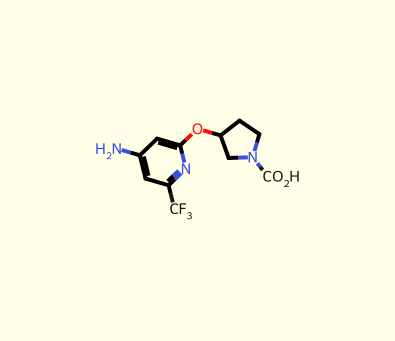 Nc1cc(OC2CCN(C(=O)O)C2)nc(C(F)(F)F)c1